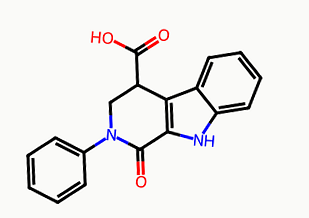 O=C(O)C1CN(c2ccccc2)C(=O)c2[nH]c3ccccc3c21